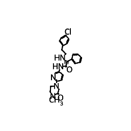 CN1CCN(c2ccc(NC(=O)[C@H](NCCc3ccc(Cl)cc3)c3ccccc3)cn2)CC1=O